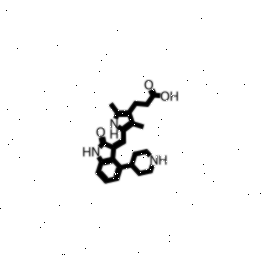 Cc1[nH]c(C=C2C(=O)Nc3cccc(C4CCNCC4)c32)c(C)c1CCC(=O)O